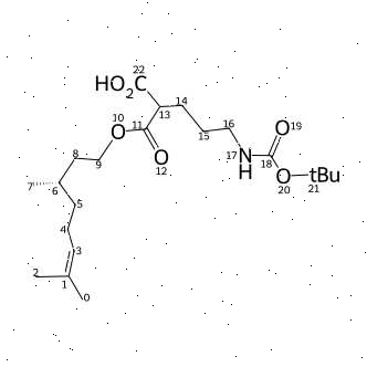 CC(C)=CCC[C@H](C)CCOC(=O)C(CCCNC(=O)OC(C)(C)C)C(=O)O